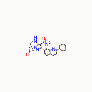 NC(=O)c1c(-c2ccc3ccc(-c4ccccc4)nc3c2)nn2c1NCCC21CC(=O)C1